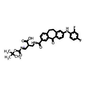 CC(C)(C)OC(=O)/N=C/C(CNC(=O)c1ccc2c(c1)C(=O)c1ccc(Nc3ccc(F)cc3F)cc1CC2)C(=O)O